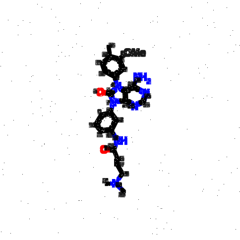 COc1cc(-n2c(=O)n(-c3cccc(NC(=O)C=CCN(C)C)c3)c3ncnc(N)c32)ccc1C